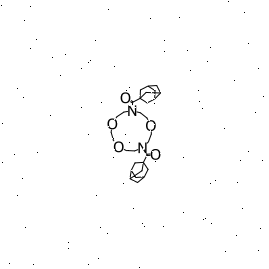 O=C(N1CCOCCOCCN(C(=O)C23CC4CC(C2)C(C4)C3)CCOCC1)C12CC3CC(C1)C(C3)C2